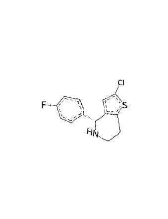 Fc1ccc([C@H]2NCCc3sc(Cl)cc32)cc1